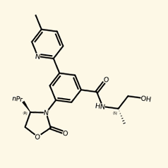 CCC[C@@H]1COC(=O)N1c1cc(C(=O)N[C@@H](C)CO)cc(-c2ccc(C)cn2)c1